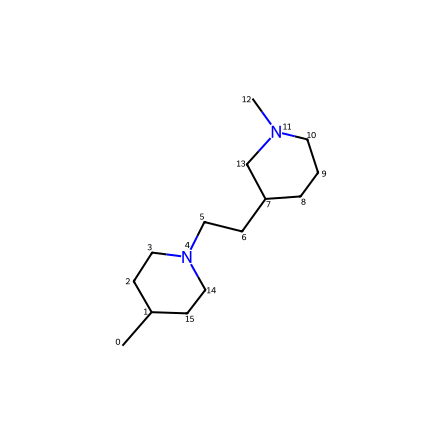 CC1CCN(CCC2CCCN(C)C2)CC1